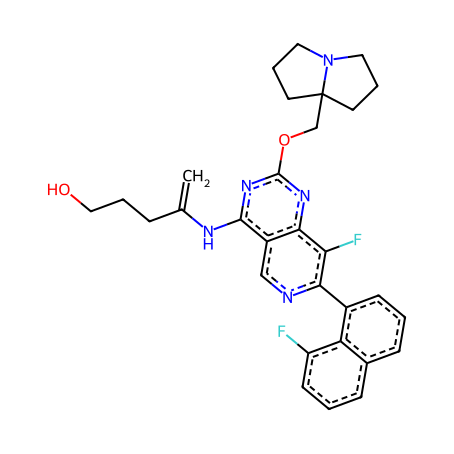 C=C(CCCO)Nc1nc(OCC23CCCN2CCC3)nc2c(F)c(-c3cccc4cccc(F)c34)ncc12